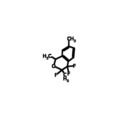 Cc1ccc2c(c1)C(C)OC(C)(F)C2(F)F